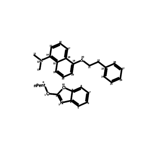 CCCCCOc1nc2ccccc2o1.CN(C)c1cccc2c(SCCc3ccccc3)cccc12